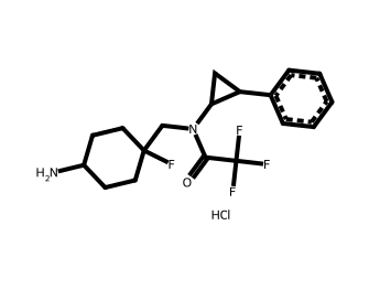 Cl.NC1CCC(F)(CN(C(=O)C(F)(F)F)C2CC2c2ccccc2)CC1